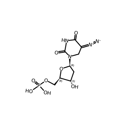 [N-]=[N+]=C1CN([C@H]2C[C@H](O)[C@@H](COP(=O)(O)O)O2)C(=O)NC1=O